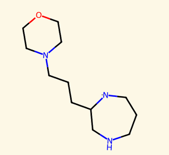 C1C[N]C(CCCN2CCOCC2)CNC1